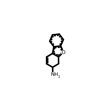 NC1C=Cc2c(oc3ccccc23)C1